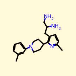 Cc1cccc(N2CCC(c3nc(C)ccc3CC(N)CN)CC2)c1